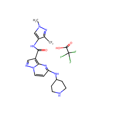 Cn1cc(NC(=O)c2cnn3ccc(NC4CCNCC4)nc23)c(C(F)(F)F)n1.O=C(O)C(F)(F)F